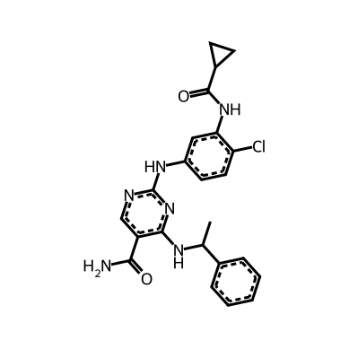 CC(Nc1nc(Nc2ccc(Cl)c(NC(=O)C3CC3)c2)ncc1C(N)=O)c1ccccc1